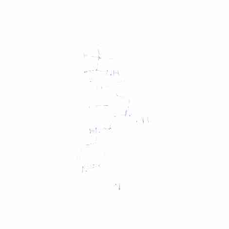 Cn1cc(S(=O)(=O)NC2(C(F)(F)F)CC2)c(Cl)c1C(=O)Nc1ccnc(C#N)c1